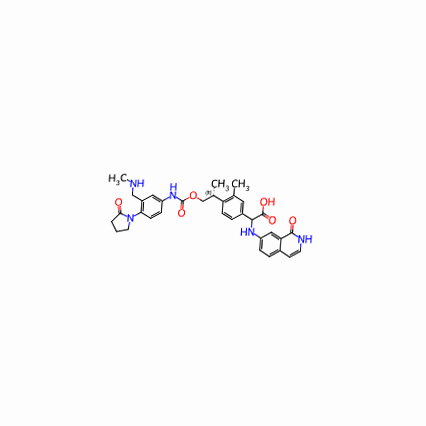 CNCc1cc(NC(=O)OC[C@H](C)c2ccc(C(Nc3ccc4cc[nH]c(=O)c4c3)C(=O)O)cc2C)ccc1N1CCCC1=O